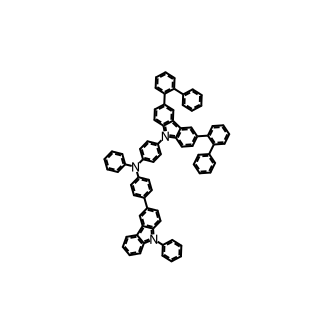 c1ccc(-c2ccccc2-c2ccc3c(c2)c2cc(-c4ccccc4-c4ccccc4)ccc2n3-c2ccc(N(c3ccccc3)c3ccc(-c4ccc5c(c4)c4ccccc4n5-c4ccccc4)cc3)cc2)cc1